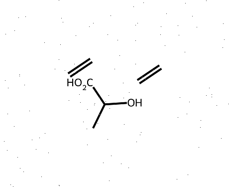 C=C.C=C.CC(O)C(=O)O